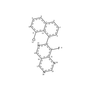 Fc1c(-c2cccc3cccc(Cl)c23)ncc2cncnc12